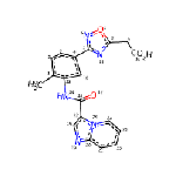 Cc1ccc(-c2noc(CC(=O)O)n2)cc1NC(=O)c1cnc2ccccn12